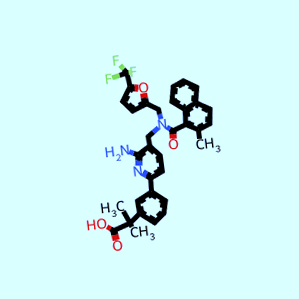 Cc1ccc2ccccc2c1C(=O)N(Cc1ccc(C(F)(F)F)o1)Cc1ccc(-c2cccc(C(C)(C)C(=O)O)c2)nc1N